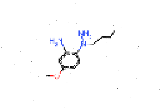 CCCCN(N)c1ccc(OC)cc1N